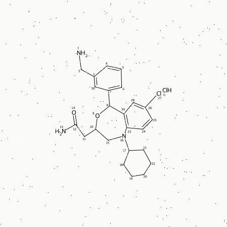 Cl.NCc1cccc(C2OC(CC(N)=O)CN(C3CCCCC3)c3ccc(Cl)cc32)c1